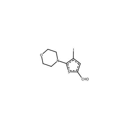 O=Cc1cc(I)c(N2CCOCC2)s1